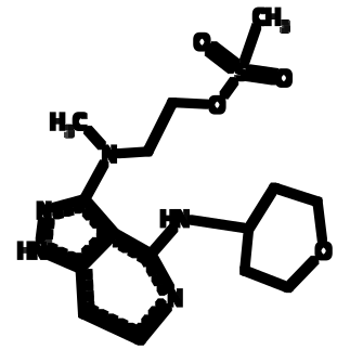 CN(CCOS(C)(=O)=O)c1n[nH]c2ccnc(NC3CCOCC3)c12